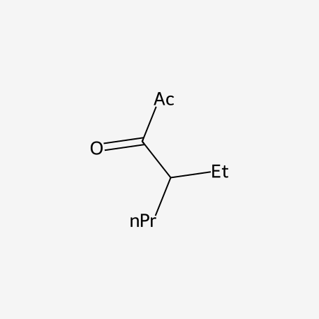 CCCC(CC)C(=O)C(C)=O